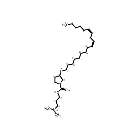 CCCCC/C=C\C/C=C\CCCCCCCCOC1CCN(C(=O)OCCCN(C)C)C1